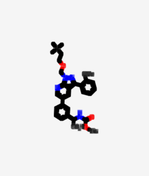 COc1ccccc1-c1nn(COCC[Si](C)(C)C)c2ncc(-c3cccc(C(NC(=O)OC(C)(C)C)C(=O)O)c3)cc12